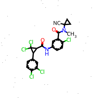 CN(C(=O)c1cc(NC(=O)C2C(c3ccc(Cl)c(Cl)c3)C2(Cl)Cl)ccc1Cl)C1(C#N)CC1